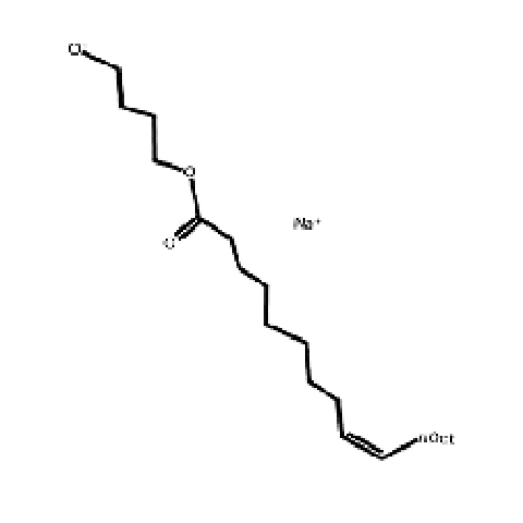 CCCCCCCC/C=C\CCCCCCCC(=O)OCCCC[O-].[Na+]